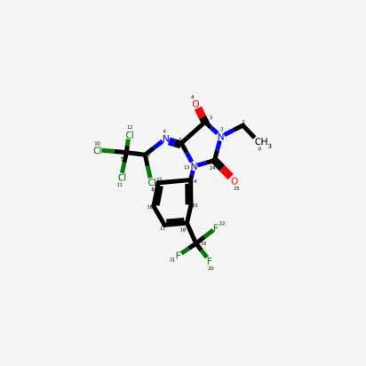 CCN1C(=O)/C(=N/C(Cl)C(Cl)(Cl)Cl)N(c2cccc(C(F)(F)F)c2)C1=O